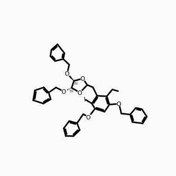 CCc1c(OCc2ccccc2)cc(OCc2ccccc2)c(I)c1CC1O[C@H](OCc2ccccc2)[C@@H](OCc2ccccc2)O1